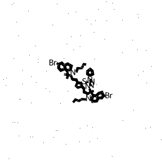 CCCCCN1/C(=C/C=C2\CCC(/C=C/C3=[N+](CCCCC)c4ccc5cc(Br)ccc5c4C3(C)C)=C2Sc2nnnn2-c2ccccc2)C(C)(C)c2c1ccc1cc(Br)ccc21